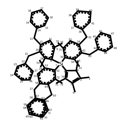 CC1=C(C)C(C)C([Si](c2c(C)cc(Cc3ccccc3)c(Cc3ccccc3)c2C)(c2c(C)cc(Cc3ccccc3)c(Cc3ccccc3)c2C)c2c(C)cc(Cc3ccccc3)c(Cc3ccccc3)c2C)=C1C